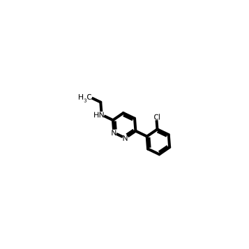 CCNc1ccc(-c2ccccc2Cl)nn1